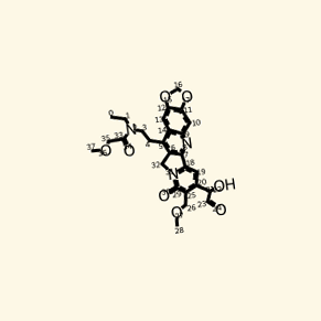 CCN(CCc1c2c(nc3cc4c(cc13)OCO4)-c1cc(C(O)C=O)c(COC)c(=O)n1C2)C(=O)COC